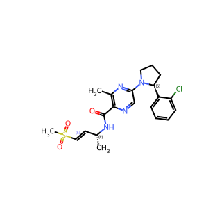 Cc1nc(N2CCC[C@H]2c2ccccc2Cl)cnc1C(=O)N[C@H](C)/C=C/S(C)(=O)=O